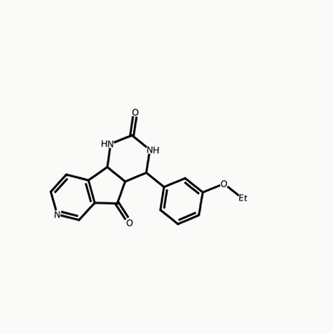 CCOc1cccc(C2NC(=O)NC3c4ccncc4C(=O)C23)c1